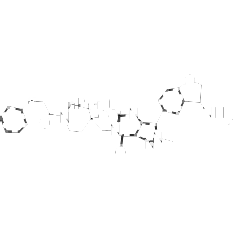 CCCCCc1nc2c(-c3ccc4c(c3)C(N)CO4)n(C)nc2c(=O)n1CC1(O)CCN(C(=O)C[C@@H](C)c2ccccc2)CC1